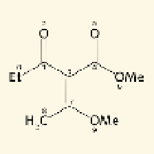 CCC(=O)C(C(=O)OC)=C(C)OC